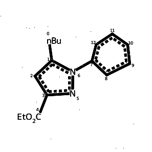 CCCCc1cc(C(=O)OCC)nn1-c1ccccc1